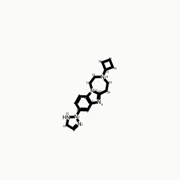 C1=NN(c2ccc3c(c2)nc2n3CCN(C3CCC3)CC2)NC1